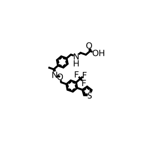 CC(=NOCc1ccc(-c2ccsc2)c(C(F)(F)F)c1)c1ccc(CNCCC(=O)O)cc1